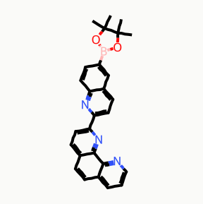 CC1(C)OB(c2ccc3nc(-c4ccc5ccc6cccnc6c5n4)ccc3c2)OC1(C)C